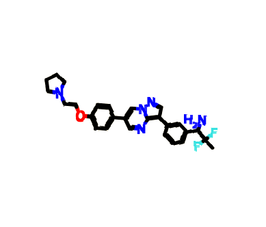 CC(F)(F)C(N)c1cccc(-c2cnn3cc(-c4ccc(OCCN5CCCC5)cc4)cnc23)c1